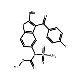 CCCCc1oc2ccc(N(C(=O)OC(C)(C)C)S(C)(=O)=O)cc2c1C(=O)c1ccc(F)cc1